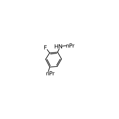 CCCNc1ccc(CCC)cc1F